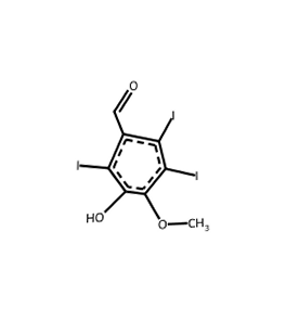 COc1c(O)c(I)c(C=O)c(I)c1I